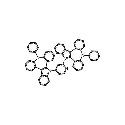 c1ccc(N2c3ccccc3-c3c(n(-c4ccnc(-n5c6c(c7ccccc75)-c5ccccc5N(c5ccccc5)c5ccccc5-6)c4)c4ccccc34)-c3ccccc32)cc1